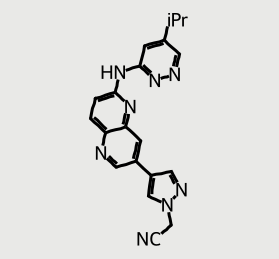 CC(C)c1cnnc(Nc2ccc3ncc(-c4cnn(CC#N)c4)cc3n2)c1